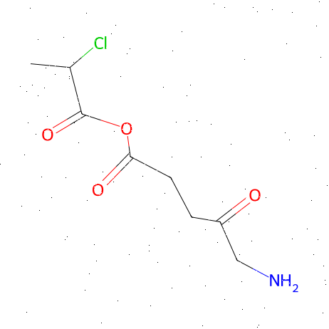 CC(Cl)C(=O)OC(=O)CCC(=O)CN